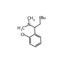 CN(C)C(CC(C)(C)C)c1ccccc1Cl